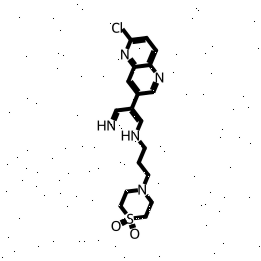 N=C/C(=C\NCCCN1CCS(=O)(=O)CC1)c1cnc2ccc(Cl)nc2c1